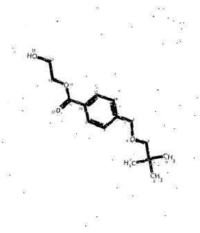 CC(C)(C)COCc1ccc(C(=O)OCCO)cc1